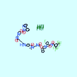 CC(C)N(CCCN(C)C(=O)CO[C@H]1Cc2ccccc2C12CCN(CC[C@@]1(c3ccc(F)cc3)CN(C(=O)c3cc(C(F)(F)F)cc(C(F)(F)F)c3)CO1)CC2)C(=O)c1ccc(NCCCCCC(=O)N(C)CCN2CCC(OC(=O)Nc3ccccc3-c3ccccc3)CC2)cc1.Cl.Cl.Cl